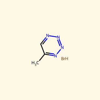 Br.Cc1cnnnn1